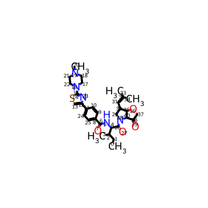 CCC(C)C(NC(=O)c1ccc(-c2csc(N3CCN(C)CC3)n2)cc1)C(=O)N1CC(C=C(C)C)C2OCC(=O)C21